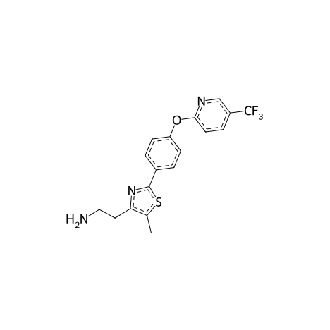 Cc1sc(-c2ccc(Oc3ccc(C(F)(F)F)cn3)cc2)nc1CCN